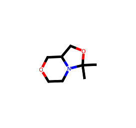 CC1(C)OCC2COCCN21